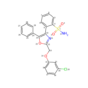 NS(=O)(=O)c1ccccc1-c1nc(COc2cccc(Cl)c2)oc1-c1ccccc1